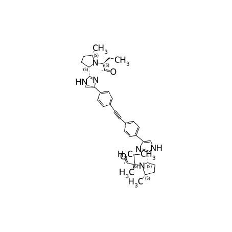 CC[C@@H]([C]=O)N1[C@@H](C)CC[C@H]1c1nc(-c2ccc(C#Cc3ccc(-c4c[nH]c([C@@H]5CC[C@H](C)N5[C@](C)([C]=O)C(C)C)n4)cc3)cc2)c[nH]1